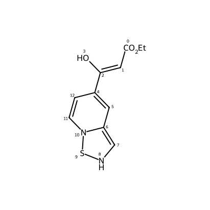 CCOC(=O)C=C(O)C1=CC2=CNSN2C=C1